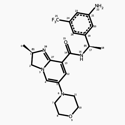 C[C@@H]1CN2C=C(N3CCOCC3)C=C(C(=O)N[C@H](C)c3cc(N)cc(C(F)(F)F)c3)C2=N1